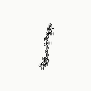 C[C@H]1CCCN1Cc1nc2cc(NC(=O)c3ccc4c(cnn4CCNC(=O)CCOCCOCCOCCNc4cccc5c4C(=O)N(C4CCC(=O)NC4=O)C5=O)c3)ccc2[nH]1